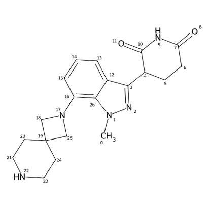 Cn1nc(C2CCC(=O)NC2=O)c2cccc(N3CC4(CCNCC4)C3)c21